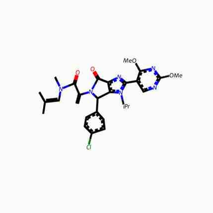 C=C(C(=O)N(C)C=C(C)C)N1C(=O)c2nc(-c3cnc(OC)nc3OC)n(C(C)C)c2C1c1ccc(Cl)cc1